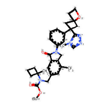 Cn1cnnc1C1(c2cccc(N3Cc4c(cc(CN(C(=O)OC(C)(C)C)C5(C)CCC5)cc4C(F)(F)F)C3=O)c2)CC2(CCO2)C1